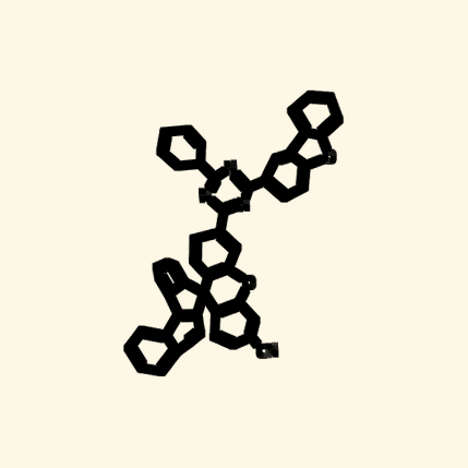 N#Cc1ccc2c(c1)Oc1cc(-c3nc(-c4ccc5oc6ccccc6c5c4)nc(C4C=CC=CC4)n3)ccc1C21c2ccccc2-c2c1ccc1ccccc21